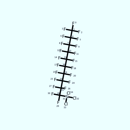 FC(F)(F)C(F)(F)C(F)(F)C(F)(F)C(F)(F)C(F)(F)C(F)(F)C(F)(F)C(F)(F)C(F)(F)[Si](Cl)(Cl)Cl